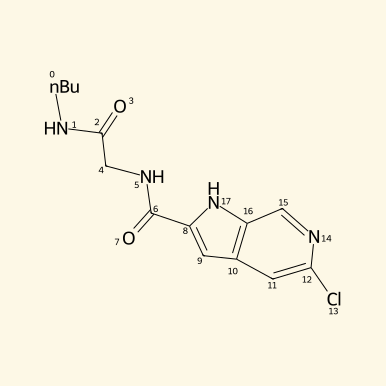 CCCCNC(=O)CNC(=O)c1cc2cc(Cl)ncc2[nH]1